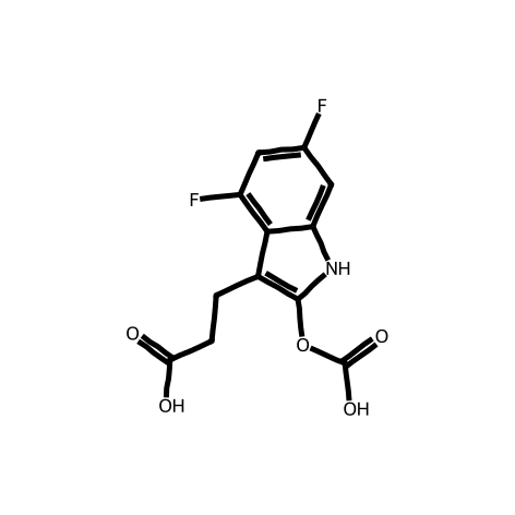 O=C(O)CCc1c(OC(=O)O)[nH]c2cc(F)cc(F)c12